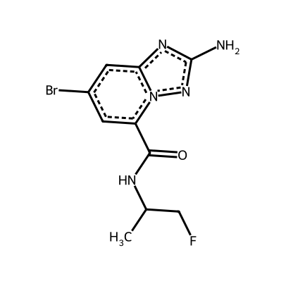 CC(CF)NC(=O)c1cc(Br)cc2nc(N)nn12